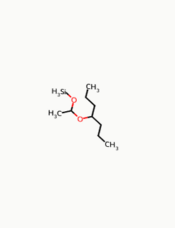 CCCC(CCC)OC(C)O[SiH3]